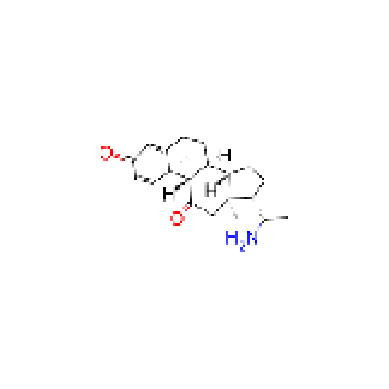 CC(N)[C@H]1CC[C@H]2[C@@H]3CCC4=CC(=O)C=C[C@]4(C)[C@H]3C(=O)C[C@]12C